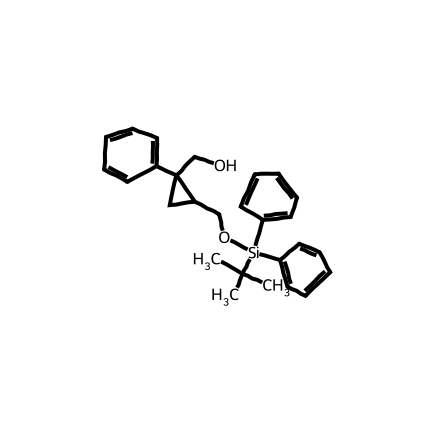 CC(C)(C)[Si](OCC1CC1(CO)c1ccccc1)(c1ccccc1)c1ccccc1